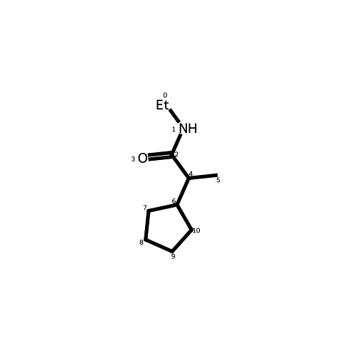 CCNC(=O)C(C)C1CCCC1